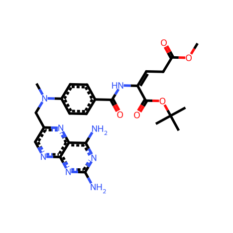 COC(=O)C/C=C(/NC(=O)c1ccc(N(C)Cc2cnc3nc(N)nc(N)c3n2)cc1)C(=O)OC(C)(C)C